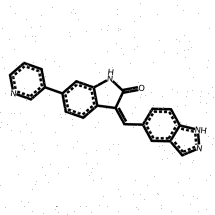 O=C1Nc2cc(-c3cccnc3)ccc2C1=Cc1ccc2[nH]ncc2c1